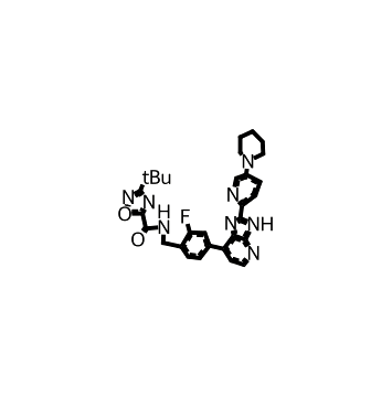 CC(C)(C)c1noc(C(=O)NCc2ccc(-c3ccnc4[nH]c(-c5ccc(N6CCCCC6)cn5)nc34)cc2F)n1